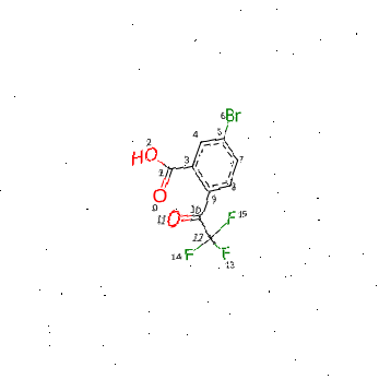 O=C(O)c1cc(Br)ccc1C(=O)C(F)(F)F